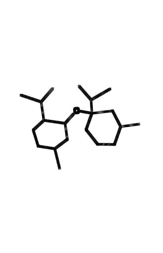 CC1CCC(C(C)C)C(OC2(C(C)C)CCCC(C)C2)C1